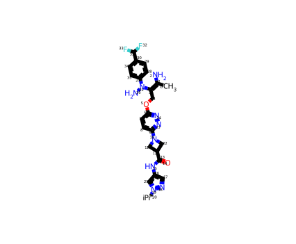 C/C(N)=C(\COc1ccc(N2CC(C(=O)Nc3cnn(C(C)C)c3)C2)nn1)N(N)c1ccc(C(F)F)cc1